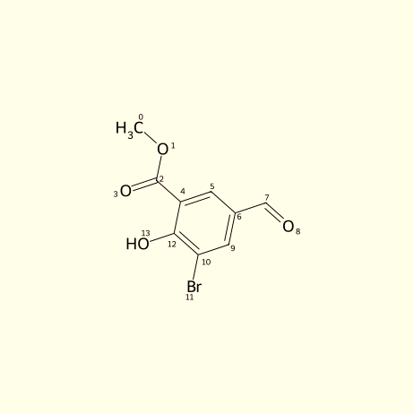 COC(=O)c1cc(C=O)cc(Br)c1O